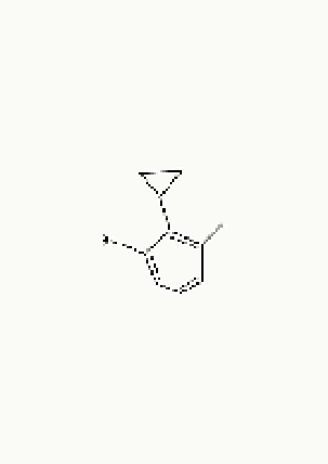 [CH2]c1cccc(Br)c1C1CC1